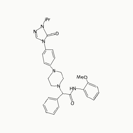 COc1ccccc1NC(=O)C(c1ccccc1)N1CCN(c2ccc(-n3cnn(C(C)C)c3=O)cc2)CC1